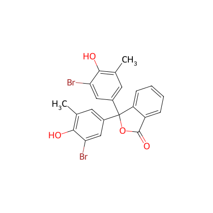 Cc1cc(C2(c3cc(C)c(O)c(Br)c3)OC(=O)c3ccccc32)cc(Br)c1O